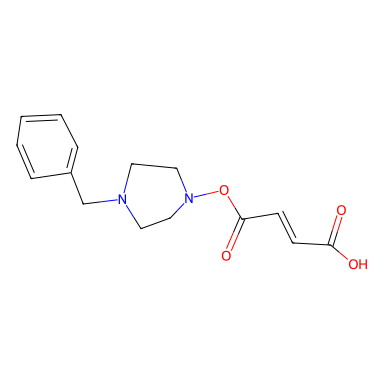 O=C(O)/C=C/C(=O)ON1CCN(Cc2ccccc2)CC1